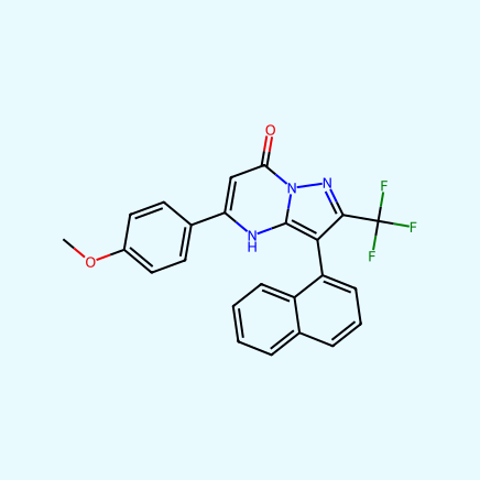 COc1ccc(-c2cc(=O)n3nc(C(F)(F)F)c(-c4cccc5ccccc45)c3[nH]2)cc1